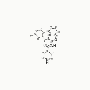 Cc1cccc(Cn2c(NC(=O)C3CCNCC3)nc3ccccc32)c1